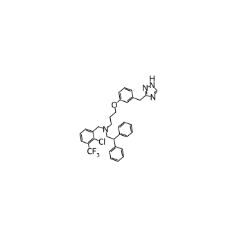 FC(F)(F)c1cccc(CN(CCCOc2cccc(Cc3nc[nH]n3)c2)CC(c2ccccc2)c2ccccc2)c1Cl